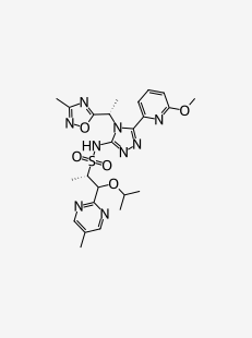 COc1cccc(-c2nnc(NS(=O)(=O)[C@@H](C)C(OC(C)C)c3ncc(C)cn3)n2[C@@H](C)c2nc(C)no2)n1